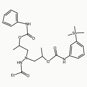 CCC(=O)NN(CC(C)OC(=O)Nc1ccccc1)CC(C)OC(=O)Nc1ccc[c]([Sn]([CH3])([CH3])[CH3])c1